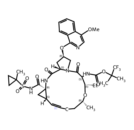 CC[C@@H]1O[C@H](C)CC/C=C\[C@@H]2C[C@@]2(C(=O)NS(=O)(=O)C2(C)CC2)NC(=O)[C@@H]2C[C@@H](Oc3ncc(OC)c4ccccc34)CN2C(=O)[C@H]1NC(=O)OC(C)(C)C(F)(F)F